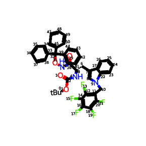 CC(C)(C)OC(=O)N[C@@H](Cc1cn(Cc2c(F)c(F)c(F)c(F)c2F)c2ccccc12)C(=O)NOC(c1ccccc1)(c1ccccc1)c1ccccc1